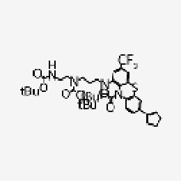 CC(C)(C)OC(=O)NCCN(CCCNc1cc(C(F)(F)F)cc2c1N(C(=O)OC(C)(C)C)c1ccc(C3=CCCC3)cc1S2)C(=O)OC(C)(C)C